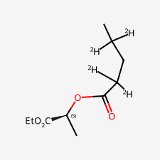 [2H]C([2H])(C)CC([2H])([2H])C(=O)O[C@@H](C)C(=O)OCC